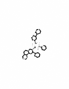 c1ccc(-c2nc(-c3ccc4sc5ccccc5c4c3)nc(-c3cc4ccc5ccccc5c4c4sc5ccccc5c34)n2)cc1